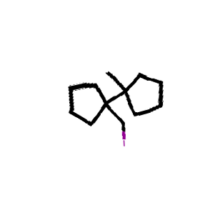 CC1(C2(CI)CCCC2)CCCC1